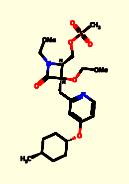 COCO[C@@]1(Cc2cc(O[C@H]3CC[C@H](C)CC3)ccn2)C(=O)N(COC)[C@H]1COS(C)(=O)=O